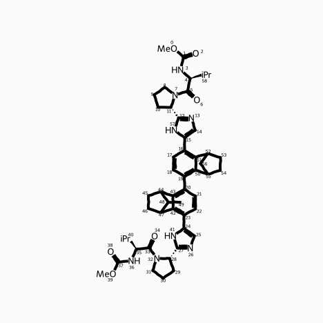 COC(=O)N[C@H](C(=O)N1CCC[C@H]1c1ncc(-c2ccc(-c3ccc(-c4cnc([C@@H]5CCCN5C(=O)[C@@H](NC(=O)OC)C(C)C)[nH]4)c4c3C3CCC4C3C)c3c2C2CCC3C2)[nH]1)C(C)C